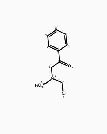 O=C(CN(CCl)S(=O)(=O)O)c1ccccc1